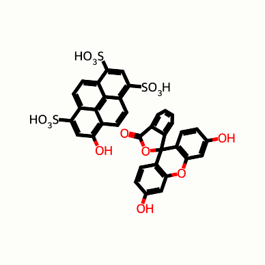 O=C1OC2(c3ccc(O)cc3Oc3cc(O)ccc32)c2ccccc21.O=S(=O)(O)c1cc(O)c2ccc3c(S(=O)(=O)O)cc(S(=O)(=O)O)c4ccc1c2c34